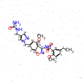 CCc1ccc(OC)c(S(=O)(=O)Nc2noc3cc(Cn4cc(CNC(N)=O)cn4)cc(OC)c23)c1